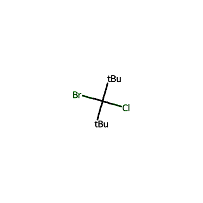 CC(C)(C)C(Cl)(Br)C(C)(C)C